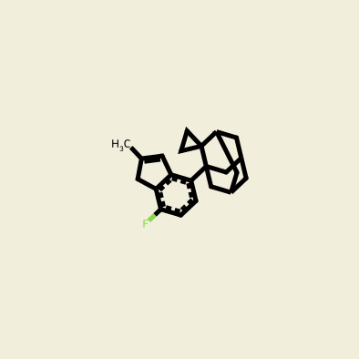 CC1=Cc2c(C34CC5C[C](CC(C5)C3)C43CC3)ccc(F)c2C1